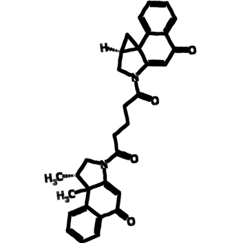 C[C@@H]1CN(C(=O)CCCC(=O)N2C[C@H]3CC34C2=CC(=O)c2ccccc24)C2=CC(=O)c3ccccc3C21C